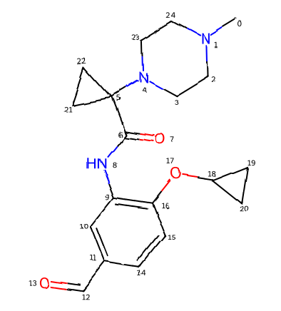 CN1CCN(C2(C(=O)Nc3cc(C=O)ccc3OC3CC3)CC2)CC1